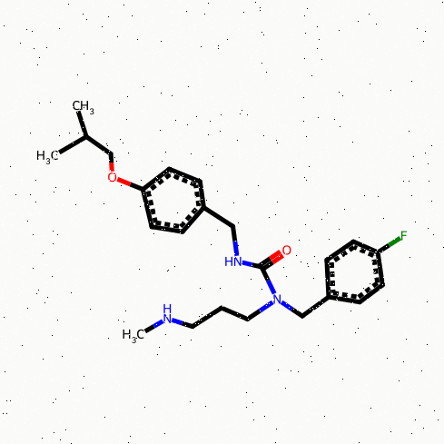 CNCCCN(Cc1ccc(F)cc1)C(=O)NCc1ccc(OCC(C)C)cc1